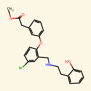 COC(=O)Cc1cccc(Oc2ccc(Br)cc2CNCCc2ccccc2O)c1